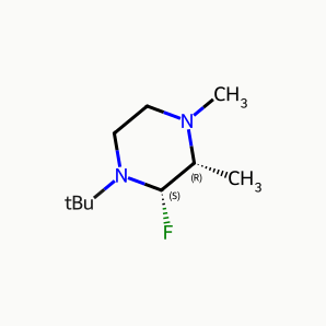 C[C@@H]1[C@H](F)N(C(C)(C)C)CCN1C